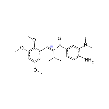 COc1cc(/C=C(/C(=O)c2ccc(N)c(N(C)C)c2)C(C)C)c(OC)c(OC)c1